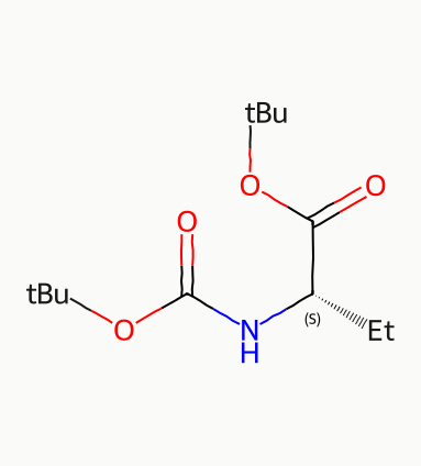 CC[C@H](NC(=O)OC(C)(C)C)C(=O)OC(C)(C)C